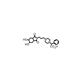 O=C(O)C(c1ccccc1)N1CCN(CCCN2C(=O)C3CC(O)C(O)CC3C2=O)CC1